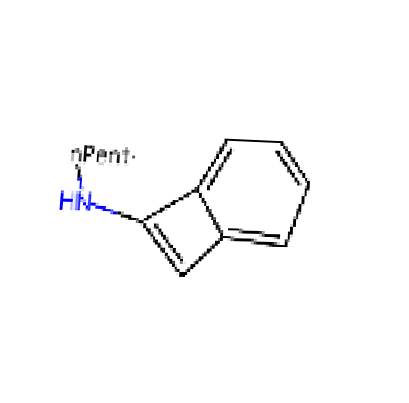 CCCC[CH]NC1=Cc2ccccc21